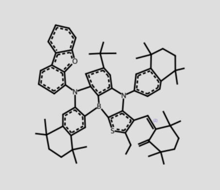 C=C1/C(=C\c2c(CC)sc3c2N(c2ccc4c(c2)C(C)(C)CCC4(C)C)c2cc(C(C)(C)C)cc4c2B3c2cc3c(cc2N4c2cccc4c2oc2ccccc24)C(C)(C)CCC3(C)C)C(C)(C)CCC1(C)C